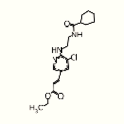 CCOC(=O)/C=C/c1cnc(NCCNC(=O)C2CCCCC2)c(Cl)c1